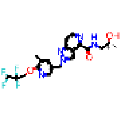 Cc1cc(Cn2cc3c(C(=O)NC[C@@H](C)O)nccc3n2)cnc1OCC(F)(F)C(F)F